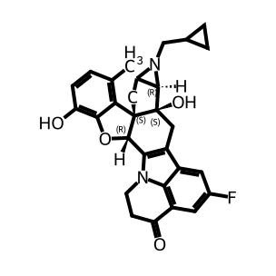 Cc1ccc(O)c2c1[C@]13CC4[C@@H](N4CC4CC4)[C@]1(O)Cc1c(n4c5c(cc(F)cc15)C(=O)CC4)[C@@H]3O2